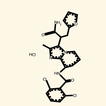 Cc1nc2c(NC(=O)c3c(Cl)cccc3Cl)cccn2c1C(Cc1ccco1)C(N)=O.Cl